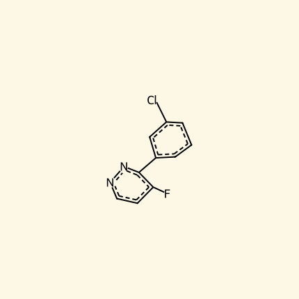 Fc1ccnnc1-c1cccc(Cl)c1